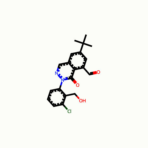 CC(C)(C)c1cc(C=O)c2c(=O)n(-c3cccc(Cl)c3CO)ncc2c1